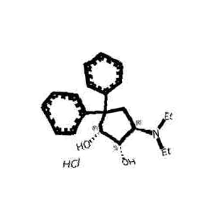 CCN(CC)[C@@H]1CC(c2ccccc2)(c2ccccc2)[C@@H](O)[C@H]1O.Cl